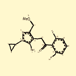 COCc1nn(C2CC2)c(N)c1CC(=O)c1c(F)cccc1F